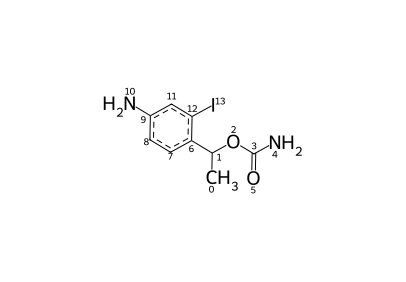 CC(OC(N)=O)c1ccc(N)cc1I